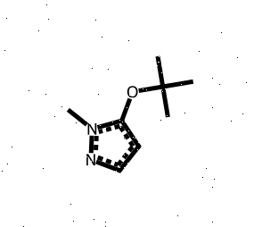 Cn1nccc1OC(C)(C)C